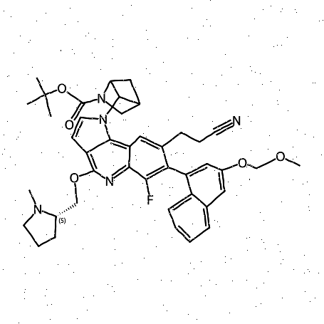 COCOc1cc(-c2c(CCC#N)cc3c(nc(OC[C@@H]4CCCN4C)c4ccn(C5C6CC5N(C(=O)OC(C)(C)C)C6)c43)c2F)c2ccccc2c1